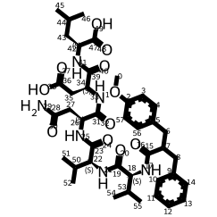 COc1ccc(CC(Cc2ccccc2)C(=O)N[C@H](C(=O)N[C@H](C(=O)N[C@@H](CC(N)=O)C(=O)N[C@@H](CC(=O)O)C(=O)N[C@@H](CC(C)C)C(=O)O)C(C)C)C(C)C)cc1